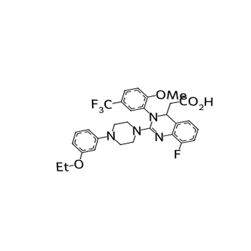 CCOc1cccc(N2CCN(C3=Nc4c(F)cccc4C(CC(=O)O)N3c3cc(C(F)(F)F)ccc3OC)CC2)c1